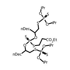 CCCCCCCCCCC(CSP(=S)(OC(C)C)OC(C)C)OP(=S)(OC(CCCCCCCCCC)CSP(=S)(OC(C)C)OC(C)C)SCCC(=O)OCC